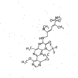 C=N/C(=C\C=C(/C)S(N)(=O)=O)CNc1nc2c(C)nc(-c3c(OC)ncnc3C3CC3)nc2n([C@@H](C)C(F)(F)F)c1=O